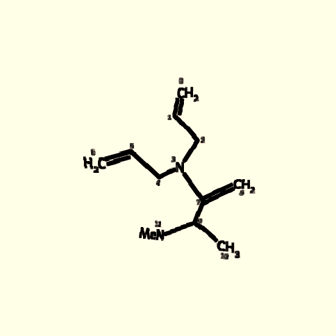 C=CCN(CC=C)C(=C)C(C)NC